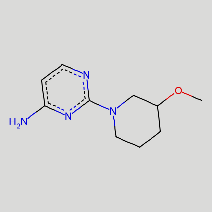 COC1CCCN(c2nccc(N)n2)C1